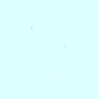 C#CCCCCCCOC(CCC(=O)OCCCCCCCBr)OCCCCCCC#C